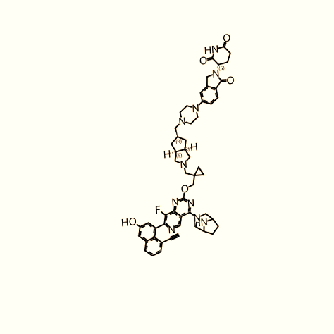 C#Cc1cccc2cc(O)cc(-c3ncc4c(N5CC6CCC(C5)N6)nc(OCC5(CN6C[C@H]7C[C@@H](CN8CCN(c9ccc%10c(c9)CN([C@H]9CCC(=O)NC9=O)C%10=O)CC8)C[C@H]7C6)CC5)nc4c3F)c12